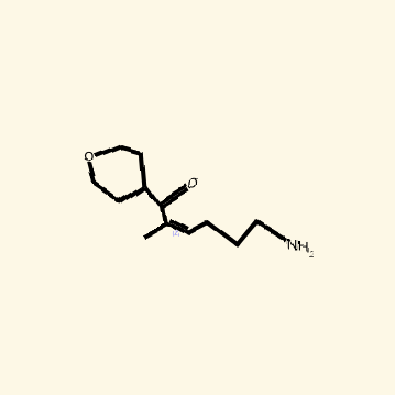 C/C(=C/CCCN)C(=O)C1CCOCC1